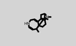 CC1C2CC3=C(CCC4/C3=C\CN/C=C\C41C)N2C